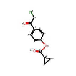 O=C(CCl)c1ccc(OC(=O)C2CC2)cc1